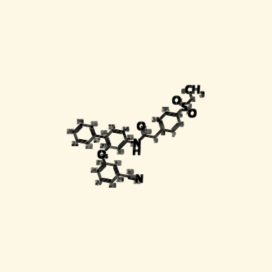 CCS(=O)(=O)c1ccc(CC(=O)Nc2ccc(-c3ccccc3)c(Oc3cccc(C#N)c3)c2)cc1